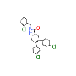 O=C(NCc1ccccc1Cl)C1CCC(c2ccc(Cl)cc2)=C(c2ccc(Cl)cc2)C1